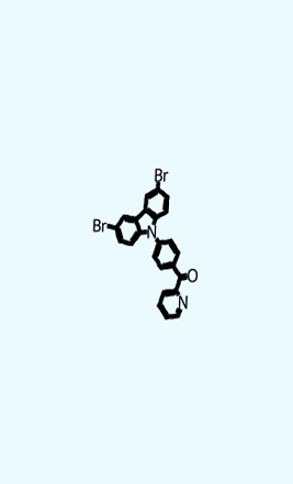 O=C(c1ccc(-n2c3ccc(Br)cc3c3cc(Br)ccc32)cc1)c1ccccn1